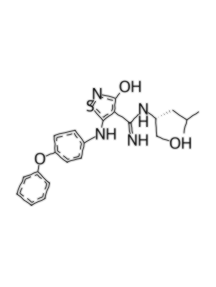 CC(C)C[C@H](CO)NC(=N)c1c(O)nsc1Nc1ccc(Oc2ccccc2)cc1